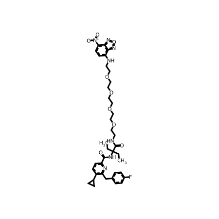 CCC(CC)(NC(=O)c1ccc(C2CC2)c(Cc2ccc(F)cc2)n1)C(=O)NCCOCCOCCOCCOCCNc1ccc([N+](=O)[O-])c2nonc12